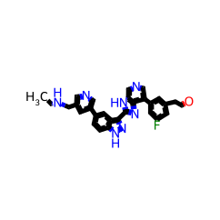 CCNCc1cncc(-c2ccc3[nH]nc(-c4nc5c(-c6cc(F)cc(CC=O)c6)cncc5[nH]4)c3c2)c1